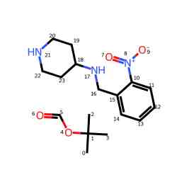 CC(C)(C)OC=O.O=[N+]([O-])c1ccccc1CNC1CCNCC1